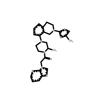 Cc1csc(N2CCc3cccc(N4CCN(C(=O)Cn5cnc6cccnc65)C(C)C4)c3C2)n1